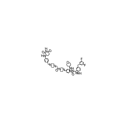 O=C1CCC(Nc2ccc(CN3CCN(CC(=O)N4CCN(c5ccc(C(=O)Nc6n[nH]c7ccc(Cc8cc(F)cc(F)c8)cc67)c(NC6CCOCC6)c5)CC4)CC3)cc2)C(=O)N1